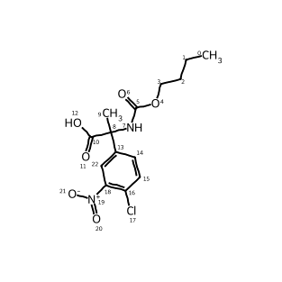 CCCCOC(=O)NC(C)(C(=O)O)c1ccc(Cl)c([N+](=O)[O-])c1